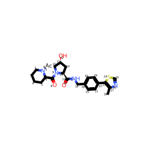 CC(=O)N1CCCCC1C(=O)N1C[C@H](O)C[C@H]1C(=O)NCc1ccc(-c2scnc2C)cc1